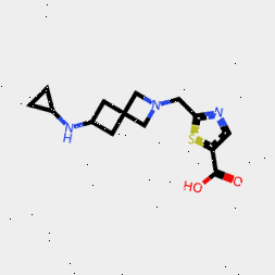 O=C(O)c1cnc(CN2CC3(CC(NC4CC4)C3)C2)s1